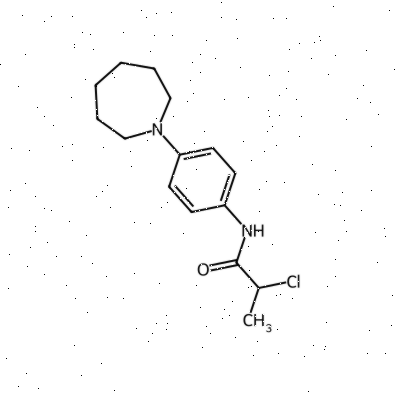 CC(Cl)C(=O)Nc1ccc(N2CCCCCC2)cc1